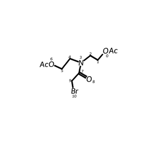 CC(=O)OCCN(CCOC(C)=O)C(=O)CBr